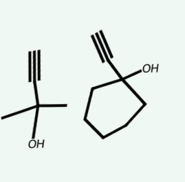 C#CC(C)(C)O.C#CC1(O)CCCCC1